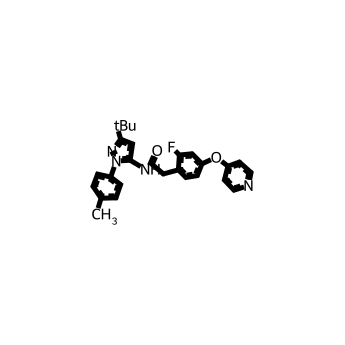 Cc1ccc(-n2nc(C(C)(C)C)cc2NC(=O)Cc2ccc(Oc3ccncc3)cc2F)cc1